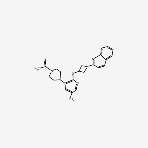 CC(=O)N1CCC(c2cc(C)cnc2OC2CN(c3ccc4ccccc4n3)C2)CC1